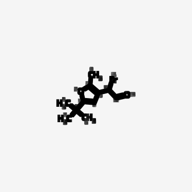 Cc1oc(C(C)(C)C)cc1C(Br)C=O